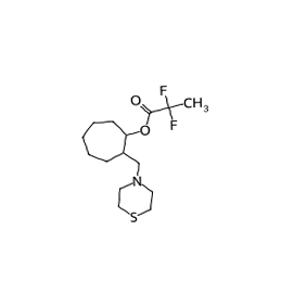 CC(F)(F)C(=O)OC1CCCCCC1CN1CCSCC1